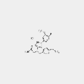 Cl.NCc1ccc(CC(CC(N)=O)c2nnc(-c3ccc(F)c(OC(F)(F)F)c3)o2)cc1